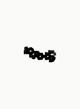 Nc1nc(-c2ccc3c(c2)CN(C2CCC(=O)NC2=O)C3=O)cc2ncccc12